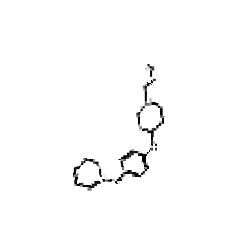 CC(=O)CCN1CCC(Oc2ccc(CN3CCCCC3)cc2)CC1